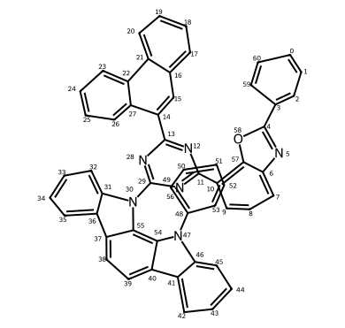 c1ccc(-c2nc3cccc(-c4nc(-c5cc6ccccc6c6ccccc56)nc(-n5c6ccccc6c6ccc7c8ccccc8n(-c8ccccc8)c7c65)n4)c3o2)cc1